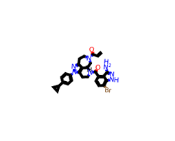 C=CC(=O)N1CCc2nn(-c3ccc(C4CC4)cc3)c3c2[C@H](C1)N(C(=O)c1ccc(Br)c2[nH]nc(N)c12)CC3